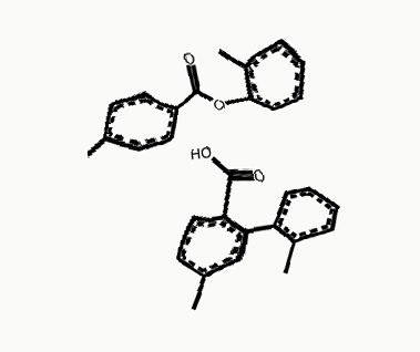 Cc1ccc(C(=O)O)c(-c2ccccc2C)c1.Cc1ccc(C(=O)Oc2ccccc2C)cc1